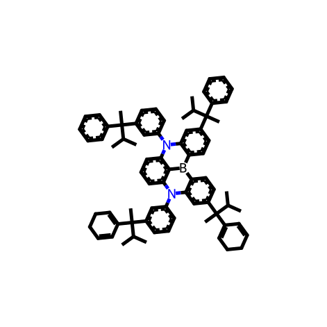 CC(C)C(C)(C1=CCCC=C1)c1cccc(N2c3cc(C(C)(C4=CCCC=C4)C(C)C)ccc3B3c4ccc(C(C)(c5ccccc5)C(C)C)cc4N(c4cccc(C(C)(c5ccccc5)C(C)C)c4)c4cccc2c43)c1